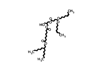 CC/C=C\CCCCOC(CCC(=O)OCC(CO)COC(=O)CCCCCCC(=O)OCCC(CCCCCC)CCCCCC)OCCCC/C=C\CC